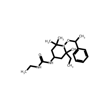 CCNC(=O)NC1CC(C)(C)N(OC(C)c2ccccc2)C(C)(CC)C1